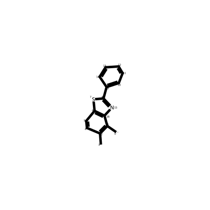 [CH2]c1c(C)ccc2sc(-c3ccccc3)nc12